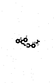 CC(C)C(=O)Nc1cccc(C2CCN(CCCc3c(-c4cccc(F)c4)n(C)c4ccccc34)CC2)c1